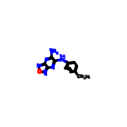 CCOC(=O)c1ccc(Nc2nc3nonc3nc2N)cc1